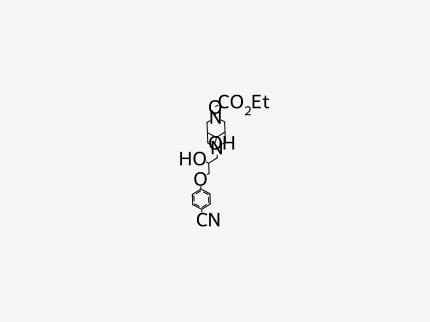 CCOC(=O)ON1CC2CN(CC(O)COc3ccc(C#N)cc3)CC(C1)C2O